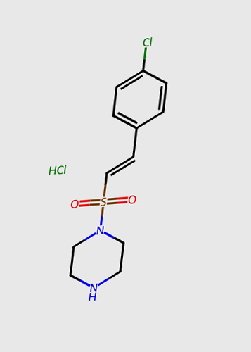 Cl.O=S(=O)(C=Cc1ccc(Cl)cc1)N1CCNCC1